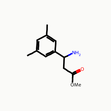 COC(=O)CC(N)c1cc(C)cc(C)c1